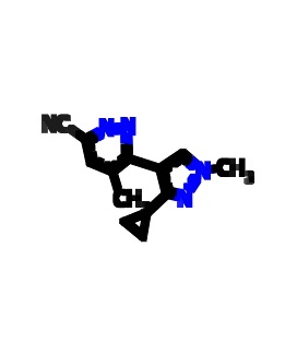 Cc1cc(C#N)nnc1-c1cn(C)nc1C1CC1